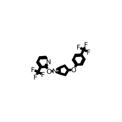 FC(F)(F)c1ccc(OC2CC3C(C2)N3Oc2ncccc2C(F)(F)F)cc1